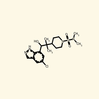 CN(C)S(=O)(=O)N1CCC(C(C)(C)C(O)c2cc(Cl)cc3cn[nH]c23)CC1